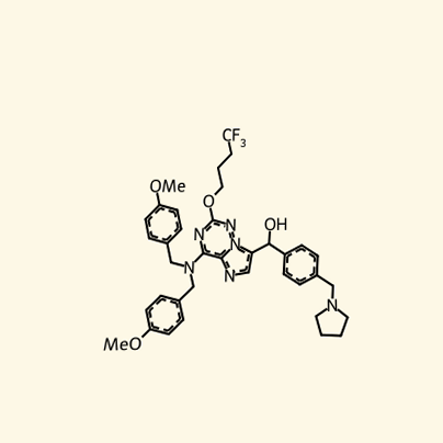 COc1ccc(CN(Cc2ccc(OC)cc2)c2nc(OCCCC(F)(F)F)nn3c(C(O)c4ccc(CN5CCCC5)cc4)cnc23)cc1